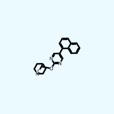 c1ccc2c(-c3cnc(OC4CN5CCC4CC5)nc3)cccc2c1